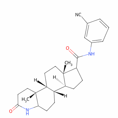 C[C@]12CCC(=O)NC1CC[C@@H]1[C@H]2CC[C@]2(C)C(C(=O)Nc3cccc(C#N)c3)CC[C@@H]12